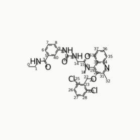 CCNC(=O)c1cccc(NC(=O)NCC(=O)N(C)c2c(OCc3c(Cl)cccc3Cl)c(C)nc3ccccc23)c1